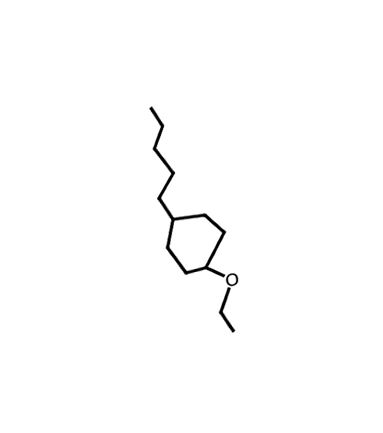 CCCCCC1CCC(OCC)CC1